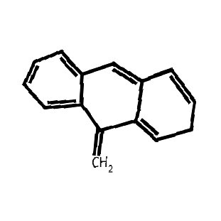 C=c1c2c(cc3ccccc13)C=CCC=2